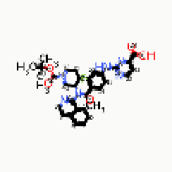 Cc1cccc2ccnc(N(C(=O)c3ccc(Nc4nccc(C(=O)O)n4)cc3F)[C@@H]3CCCN(C(=O)OC(C)(C)C)C3)c12